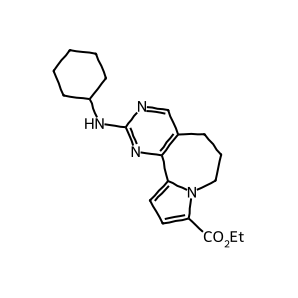 CCOC(=O)c1ccc2n1CCCc1cnc(NC3CCCCC3)nc1-2